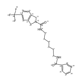 O=C(NCCCCCCNC(=O)N1Cc2ccc(C(F)(F)F)cc2C1)c1cccnc1